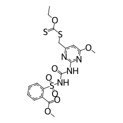 CCOC(=S)SCc1cc(OC)nc(NC(=O)NS(=O)(=O)c2ccccc2C(=O)OC)n1